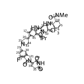 CNC(=O)c1ccccc1Nc1cc(Nc2cc(C)c(C3CCN(Cc4cc(F)c5c(c4)CN(C4CCC(=O)NC4=O)C5=O)CC3)cc2OC(C)C)ncc1C(F)(F)F